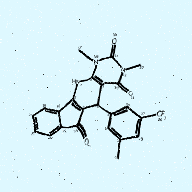 Cc1cc(C2C3=C(Nc4c2c(=O)n(C)c(=O)n4C)c2ccccc2C3=O)cc(C(F)(F)F)c1